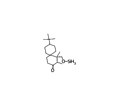 CC1C(=O)CCC2(CCC(C(C)(C)C)CC2)C1(C)CO[SiH3]